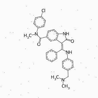 CN(C)Cc1ccc(N/C(=C2\C(=O)Nc3ccc(C(=O)N(C)c4ccc(Cl)cc4)cc32)c2ccccc2)cc1